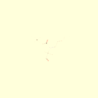 COCCN(C(=O)OC(C)(C)C)C(C)(C)C=O